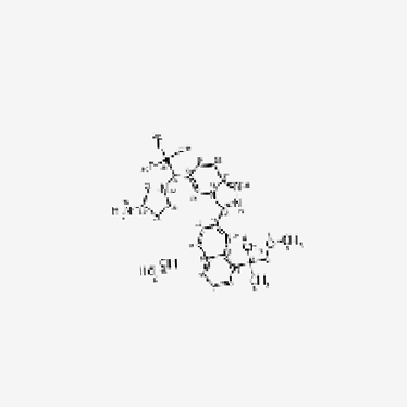 COCC(C)(C)c1cccc2ccc(-c3nnc4ccc([C@@H](N5CCC(N)C5)C(F)(F)F)cn34)nc12.Cl.Cl